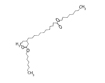 CCCCCCCCOC(=O)CCCCCCCCCCCC(CC)CC(=O)OCCCCCCCC